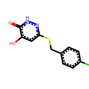 O=c1[nH]nc(SCc2ccc(Cl)cc2)cc1O